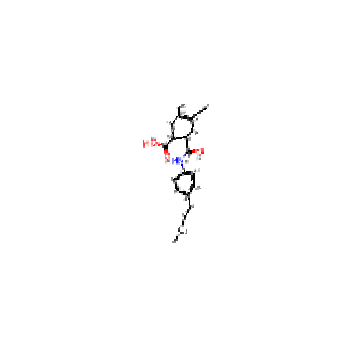 CCCCc1ccc(NC(=O)C2CC(C)=C(C)CC2C(=O)O)cc1